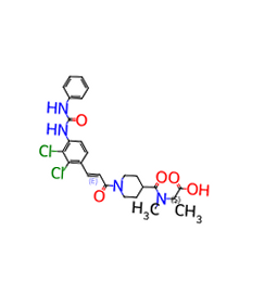 C[C@@H](C(=O)O)N(C)C(=O)C1CCN(C(=O)/C=C/c2ccc(NC(=O)Nc3ccccc3)c(Cl)c2Cl)CC1